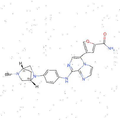 CC(C)(C)N1C[C@@H]2C[C@H]1CN2c1ccc(Nc2ncc(-c3coc(C(N)=O)c3)n3ccnc23)cc1